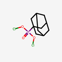 O=P(OCl)(OCl)C12CC3CC(CC(C3)C1)C2